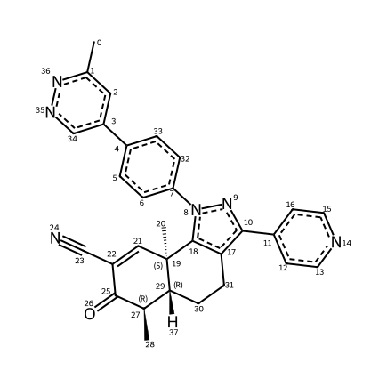 Cc1cc(-c2ccc(-n3nc(-c4ccncc4)c4c3[C@]3(C)C=C(C#N)C(=O)[C@H](C)[C@H]3CC4)cc2)cnn1